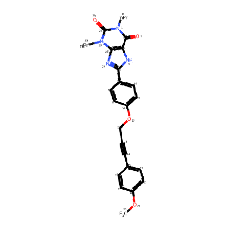 CCCn1c(=O)c2[nH]c(-c3ccc(OCC#Cc4ccc(OC(F)(F)F)cc4)cc3)nc2n(CCC)c1=O